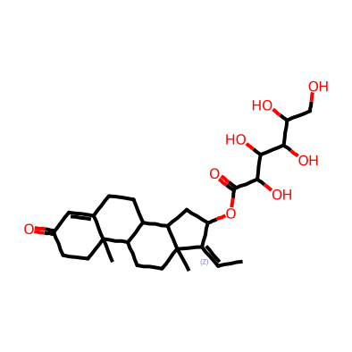 C/C=C1\C(OC(=O)C(O)C(O)C(O)C(O)CO)CC2C3CCC4=CC(=O)CCC4(C)C3CCC12C